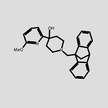 COc1cccc(C2(O)CCN(CC34CC(c5ccccc53)c3ccccc34)CC2)n1